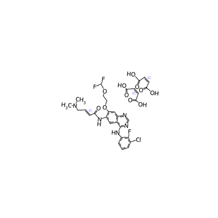 CN(C)C/C=C/C(=O)Nc1cc2c(Nc3cccc(Cl)c3F)ncnc2cc1OCCOC(F)F.O=C(O)/C=C\C(=O)O.O=C(O)/C=C\C(=O)O